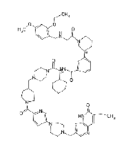 CCOc1cc(OC)ccc1CNCC(=O)N1CCC[C@@H](c2cccc(C(=O)N[C@H](C(=O)N3CCN(CC4CCN(C(=O)c5ccc(N6CCN(Cc7cnc8cc(CC)c(=O)[nH]c8c7)CC6)cn5)CC4)CC3)C3CCCCC3)c2)C1